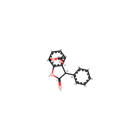 O=C1Oc2c(c3ccc2oc3=O)C1c1ccccc1